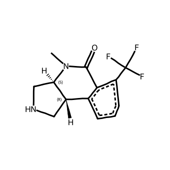 CN1C(=O)c2c(cccc2C(F)(F)F)[C@@H]2CNC[C@H]21